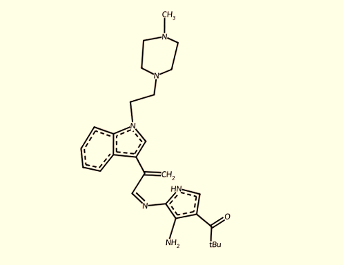 C=C(/C=N\c1[nH]cc(C(=O)C(C)(C)C)c1N)c1cn(CCN2CCN(C)CC2)c2ccccc12